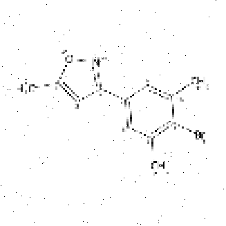 Cc1cc(-c2cc(C)c(Br)c(C)c2)no1